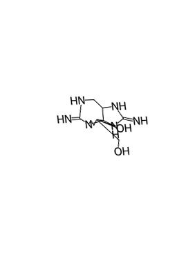 N=C1NC2CNC(=N)N3CC[C@@](O)(CO)C23N1